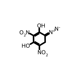 [N-]=[N+]=C1CC([N+](=O)[O-])=C(O)C([N+](=O)[O-])=C1O